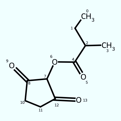 CCC(C)C(=O)OC1C(=O)CCC1=O